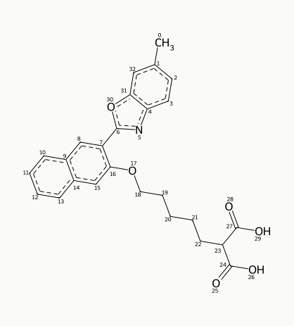 Cc1ccc2nc(-c3cc4ccccc4cc3OCCCCCC(C(=O)O)C(=O)O)oc2c1